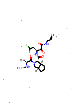 C=CCNC(=O)C(=O)[C@H](CC(F)F)NC(=O)[C@@H]1[C@H]2CCC[C@H]2CN1C(=O)[C@@H](NC=O)C(C)(C)C